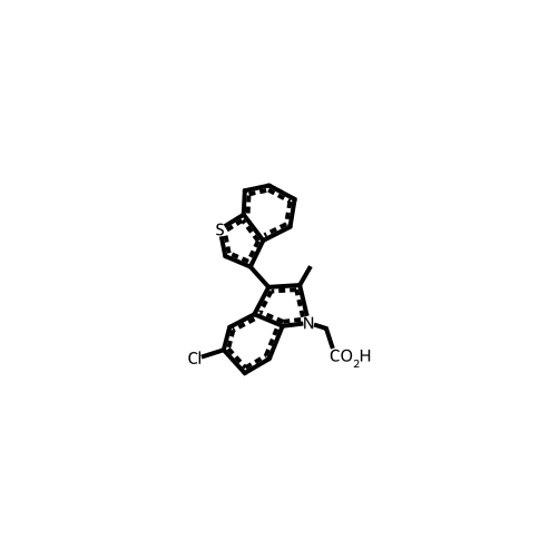 Cc1c(-c2csc3ccccc23)c2cc(Cl)ccc2n1CC(=O)O